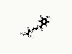 C=C(C)C(=O)OCCOC(=O)c1c(F)c(F)c(N)c(F)c1F